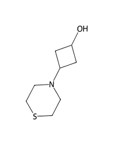 OC1CC(N2CCSCC2)C1